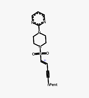 CCCCCC#C/C=C/S(=O)(=O)N1CCN(c2ncccn2)CC1